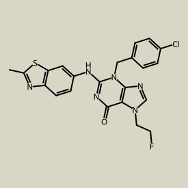 Cc1nc2ccc(Nc3nc(=O)c4c(ncn4CCF)n3Cc3ccc(Cl)cc3)cc2s1